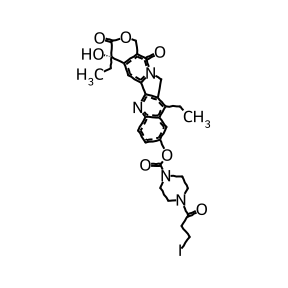 CCc1c2c(nc3ccc(OC(=O)N4CCN(C(=O)CCI)CC4)cc13)-c1cc3c(c(=O)n1C2)COC(=O)[C@]3(O)CC